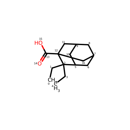 CCC1(CC)C2CC3CC(C2)CC1(C(=O)O)C3